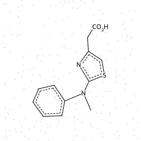 CN(c1ccccc1)c1nc(CC(=O)O)cs1